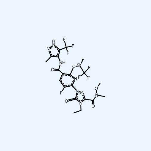 CCn1c(C(=O)N(C)OC)nn(-c2nc(O[C@@H](C)C(F)(F)F)c(C(=O)Nc3c(C)n[nH]c3C(F)(F)F)cc2F)c1=O